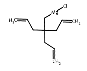 C=CCC(CC=C)(CC=C)[CH2][Mg][Cl]